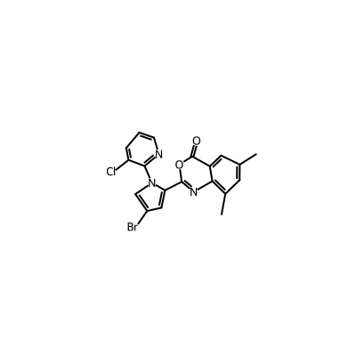 Cc1cc(C)c2nc(-c3cc(Br)cn3-c3ncccc3Cl)oc(=O)c2c1